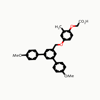 COc1ccc(-c2cc(COc3ccc(OCC(=O)O)c(C)c3)cc(-c3ccc(OC)cc3)c2)cc1